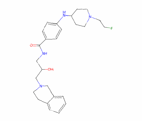 O=C(NCC(O)CN1CCc2ccccc2C1)c1ccc(NC2CCN(CCF)CC2)cc1